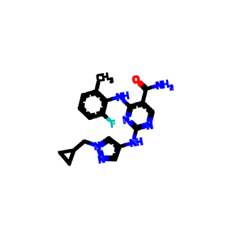 Cc1cccc(F)c1Nc1nc(Nc2cnn(CC3CC3)c2)ncc1C(N)=O